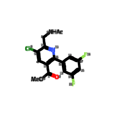 COC(=O)c1cc(Cl)c(CNC(C)=O)nc1-c1cc(F)cc(F)c1